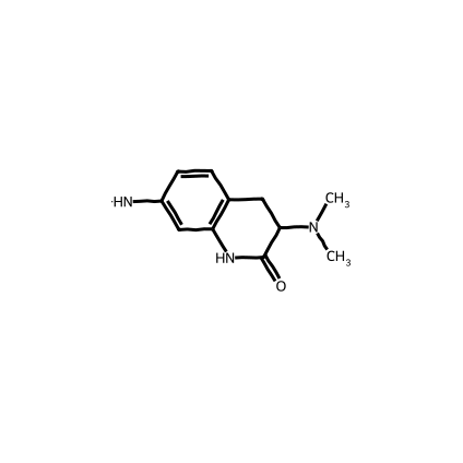 CN(C)C1Cc2ccc([NH])cc2NC1=O